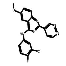 COc1ccc2nc(-c3ccnnc3)nc(Nc3ccc(F)c(Cl)c3)c2c1